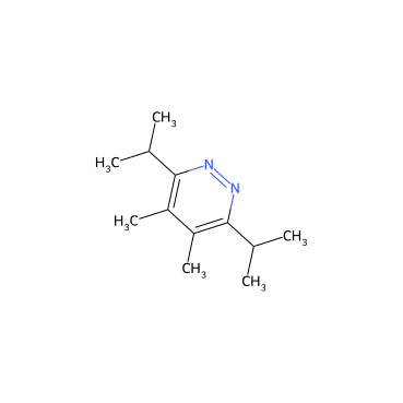 Cc1c(C(C)C)nnc(C(C)C)c1C